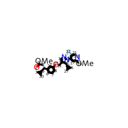 COC(=O)C[C@H](c1cccc(OCc2cnn(-c3cc(OC)ncc3F)c2C2CC2)c1)C1CC1